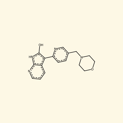 Oc1[nH]c2ncccc2c1-c1ccc(CN2CCOCC2)cn1